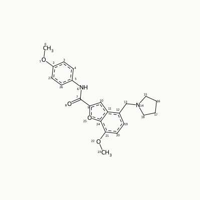 COc1ccc(NC(=O)c2cc3c(CN4CCCC4)ccc(OC)c3o2)cc1